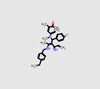 C=CC(=N)/C(=C(/C)NCc1ccc(CC)cc1)C(c1ccc(Cl)cc1)N(C)C(/C=C(/C)C(C)=O)=C/C